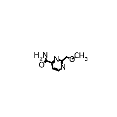 COCc1nccc(C(N)=O)n1